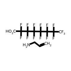 C=CCN.O=C(O)C(F)(F)C(F)(F)C(F)(F)C(F)(F)C(F)(F)C(F)(F)C(F)(F)F